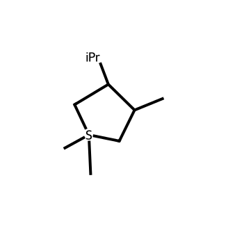 CC(C)C1CS(C)(C)CC1C